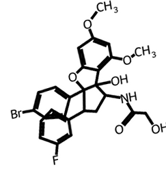 COc1cc(OC)c2c(c1)OC1(c3ccc(Br)cc3)C(c3cccc(F)c3)CC(NC(=O)CO)C21O